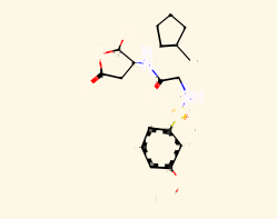 O=C1C[C@H](NC(=O)[C@H](CC2CCCC2)NS(=O)(=O)c2cccc(OC(F)(F)F)c2)C(O)O1